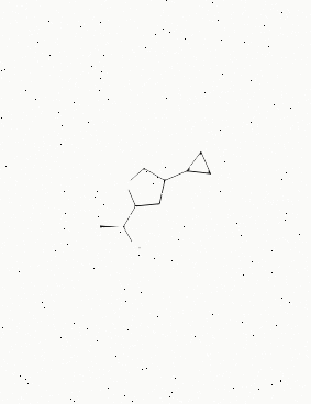 C[C@H](O)C1CC(C2CC2)CS1